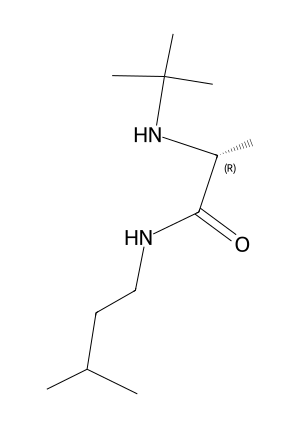 CC(C)CCNC(=O)[C@@H](C)NC(C)(C)C